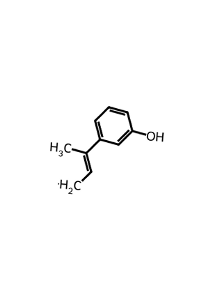 [CH2]C=C(C)c1cccc(O)c1